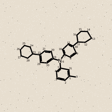 Cc1cccc(N(c2ccc(C3CCCCC3)cc2)c2ccc(C3CCCCC3)cc2)c1